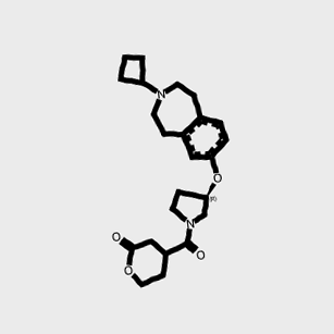 O=C1CC(C(=O)N2CC[C@@H](Oc3ccc4c(c3)CCN(C3CCC3)CC4)C2)CCO1